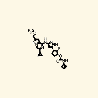 O=C(NC12CC(C1)C2)O[C@H]1CC[C@@H](c2cc(Nc3nc(C4CC4)cn4nc(COC(F)(F)F)cc34)n[nH]2)[C@H]1F